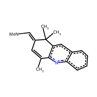 CN/C=C1\C=C(C)c2nc3ccccc3cc2C1(C)C